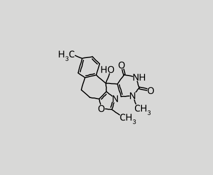 Cc1ccc2c(c1)CCc1oc(C)nc1C2(O)c1cn(C)c(=O)[nH]c1=O